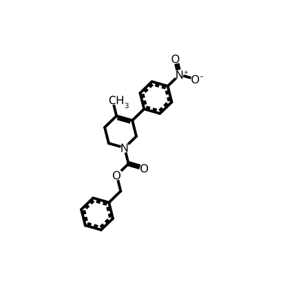 CC1=C(c2ccc([N+](=O)[O-])cc2)CN(C(=O)OCc2ccccc2)CC1